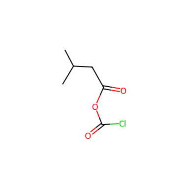 CC(C)CC(=O)OC(=O)Cl